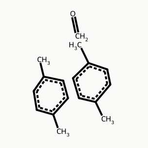 C=O.Cc1ccc(C)cc1.Cc1ccc(C)cc1